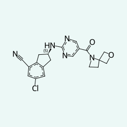 N#Cc1cc(Cl)cc2c1C[C@@H](Nc1ncc(C(=O)N3CCC34COC4)cn1)C2